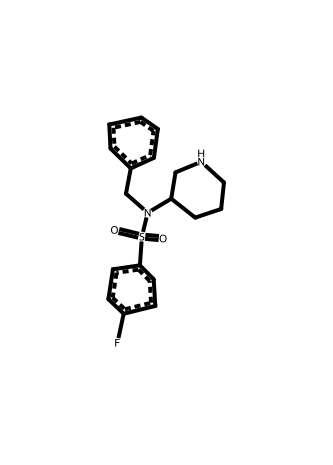 O=S(=O)(c1ccc(F)cc1)N(Cc1ccccc1)C1CCCNC1